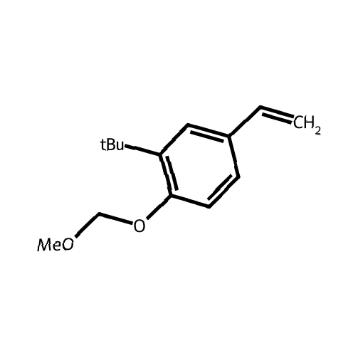 C=Cc1ccc(OCOC)c(C(C)(C)C)c1